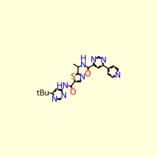 CC(NC(=O)c1cc(-c2ccncc2)ncn1)c1ncc(C(=O)Nc2cc(C(C)(C)C)ncn2)s1